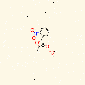 COCOB1C(C)OC1c1ccccc1[N+](=O)[O-]